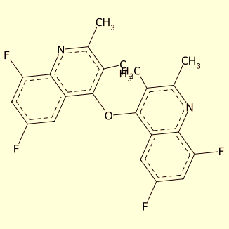 Cc1nc2c(F)cc(F)cc2c(Oc2c(C)c(C)nc3c(F)cc(F)cc23)c1C